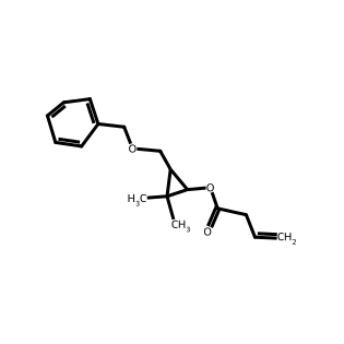 C=CCC(=O)OC1C(COCc2ccccc2)C1(C)C